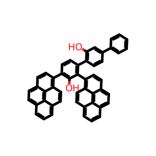 Oc1cc(-c2ccccc2)ccc1-c1ccc(-c2ccc3ccc4cccc5ccc2c3c45)c(O)c1-c1ccc2ccc3cccc4ccc1c2c34